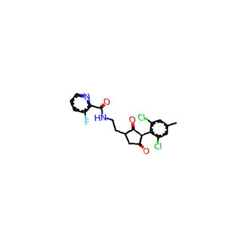 Cc1cc(Cl)c(C2C(=O)CC(CCNC(=O)c3ncccc3F)C2=O)c(Cl)c1